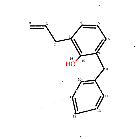 C=CCc1cccc(Cc2ccccc2)c1O